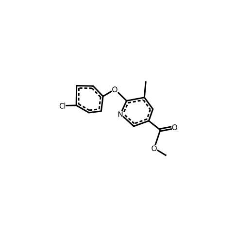 COC(=O)c1cnc(Oc2ccc(Cl)cc2)c(C)c1